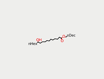 CCCCCCCCCCCOC(=O)CCCCCCCCCCC(O)CCCCCC